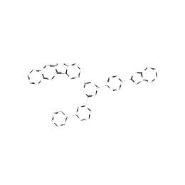 c1ccc(-c2cccc(-c3cc(-c4ccc(-c5cc6ccccc6o5)cc4)nc(-c4ccc5oc6cc7ccccc7cc6c5c4)n3)c2)cc1